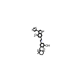 COc1cc(/C=C/c2cc(O)c3c(c2)C[C@@H]2C(C)(C)CCC[C@@]2(C)O3)cc2c1c(-c1cncs1)cn2C